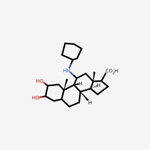 C[C@]12CC(O)C(O)CC1CC[C@@H]1[C@H]2C(NC2CCCCC2)C[C@]2(C)C(C(=O)O)CC[C@@H]12